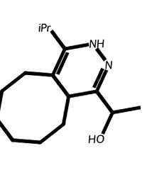 CC(C)C1=C2CCCCCCC2C(C(C)O)=NN1